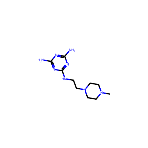 CN1CCN(CCNc2nc(N)nc(N)n2)CC1